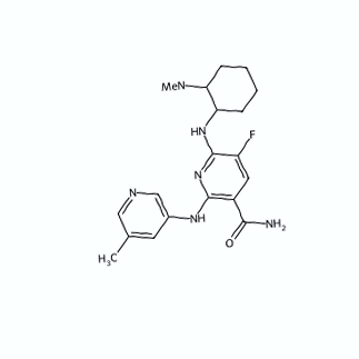 CNC1CCCCC1Nc1nc(Nc2cncc(C)c2)c(C(N)=O)cc1F